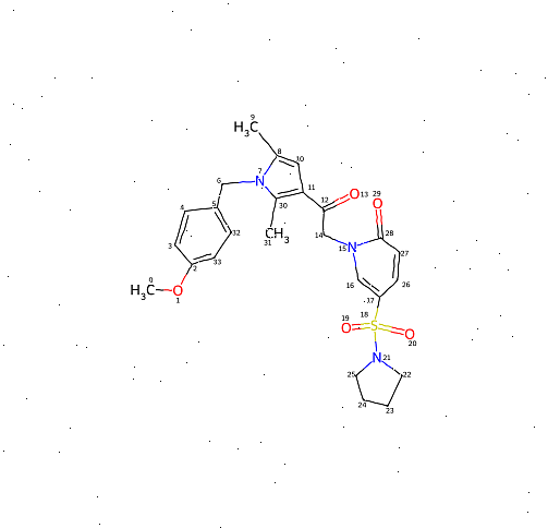 COc1ccc(Cn2c(C)cc(C(=O)Cn3cc(S(=O)(=O)N4CCCC4)ccc3=O)c2C)cc1